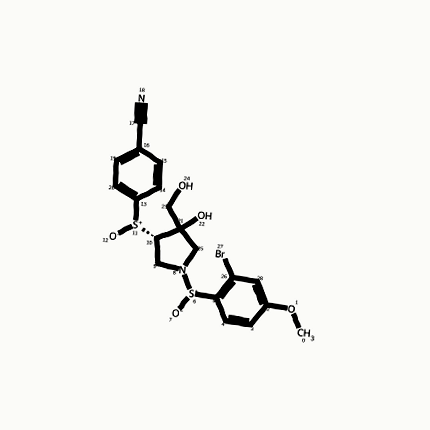 COc1ccc([S+]([O-])N2C[C@H]([S+]([O-])c3ccc(C#N)cc3)C(O)(CO)C2)c(Br)c1